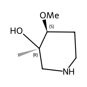 CO[C@H]1CCNC[C@@]1(C)O